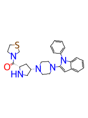 O=C([C@@H]1C[C@H](N2CCN(c3cc4ccccc4n3-c3ccccc3)CC2)CN1)N1CCSC1